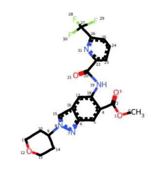 COC(=O)c1cc2nn(C3CCOCC3)cc2cc1NC(=O)c1cccc(C(F)(F)F)n1